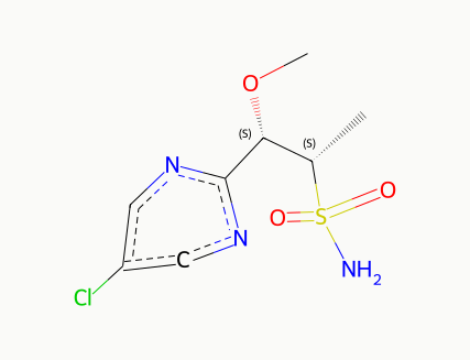 CO[C@@H](c1ncc(Cl)cn1)[C@H](C)S(N)(=O)=O